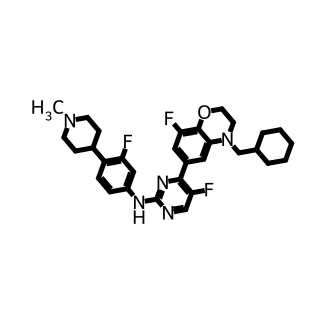 CN1CCC(c2ccc(Nc3ncc(F)c(-c4cc(F)c5c(c4)N(CC4CCCCC4)CCO5)n3)cc2F)CC1